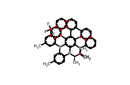 C=CB1c2ccccc2Sc2c1c1c3c(c2-c2c(-c4ccccc4)cccc2-c2ccccc2)N(c2ccccc2C(F)(F)F)c2ccc(C)cc2B3c2cc(C)ccc2N1[C@H](C)C(C)C